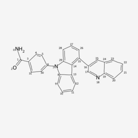 NC(=O)c1ccc(-n2c3ccccc3c3c(-c4cnc5ccccc5c4)cccc32)cc1